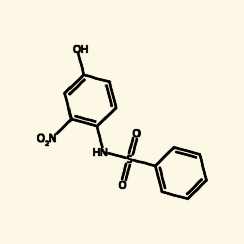 O=[N+]([O-])c1cc(O)ccc1NS(=O)(=O)c1ccccc1